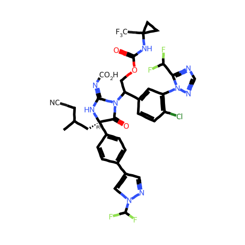 CC(CC#N)C[C@]1(c2ccc(-c3cnn(C(F)F)c3)cc2)NC(=NC(=O)O)N(C(COC(=O)NC2(C(F)(F)F)CC2)c2ccc(Cl)c(-n3ncnc3C(F)F)c2)C1=O